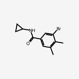 Cc1cc(C(=O)NC2CC2)cc(Br)c1C